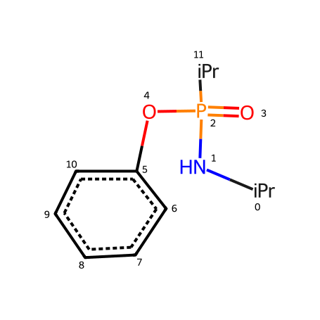 CC(C)NP(=O)(Oc1ccccc1)C(C)C